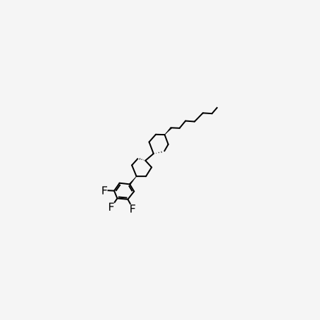 CCCCCCC[C@H]1CC[C@H]([C@H]2CC[C@H](c3cc(F)c(F)c(F)c3)CC2)CC1